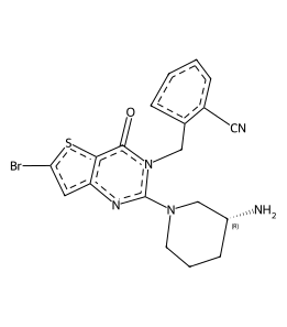 N#Cc1ccccc1Cn1c(N2CCC[C@@H](N)C2)nc2cc(Br)sc2c1=O